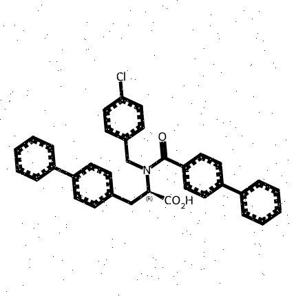 O=C(O)[C@@H](Cc1ccc(-c2ccccc2)cc1)N(Cc1ccc(Cl)cc1)C(=O)c1ccc(-c2ccccc2)cc1